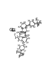 [CH2]=[Zr+2]([CH]1C(CC)=Cc2c(-c3ccc(C(F)(F)F)cc3)cccc21)[CH]1C(CC)=Cc2c(-c3ccc(C(F)(F)F)cc3)cccc21.[Cl-].[Cl-]